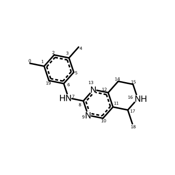 Cc1cc(C)cc(Nc2ncc3c(n2)CCNC3C)c1